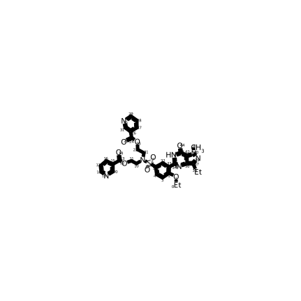 CCOc1ccc(S(=O)(=O)N(CCOC(=O)c2cccnc2)CCOC(=O)c2cccnc2)cc1-c1nc2c(CC)nn(C)c2c(=O)[nH]1